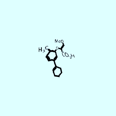 CO/C=C(\Oc1cc(C2=CCCCC2)ccc1C)C(=O)O